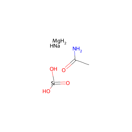 CC(N)=O.O=[Si](O)O.[MgH2].[NaH]